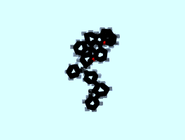 c1ccc(N(c2ccc(-c3cccc4c3sc3ccccc34)cc2)c2ccc(C3(c4ccccc4)c4ccccc4C4(c5ccccc5)c5ccccc5-c5cccc3c54)cc2)cc1